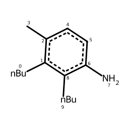 CCCCc1c(C)ccc(N)c1CCCC